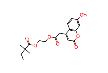 CCC(C)(C)C(=O)OCCOC(=O)Cc1cc(=O)oc2cc(O)ccc12